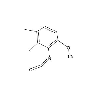 Cc1ccc(OC#N)c(N=C=O)c1C